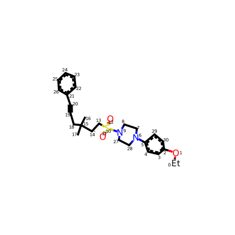 CCOc1ccc(N2CCN(S(=O)(=O)C[CH]C(C)(C)CC#Cc3ccccc3)CC2)cc1